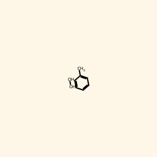 Cc1ccccc1.OO